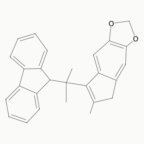 CC1=C(C(C)(C)C2c3ccccc3-c3ccccc32)c2cc3c(cc2C1)OCO3